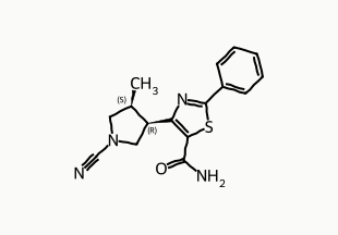 C[C@@H]1CN(C#N)C[C@@H]1c1nc(-c2ccccc2)sc1C(N)=O